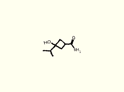 CC(C)C1(O)CC(C(N)=O)C1